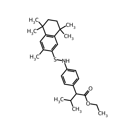 CCOC(=O)C(c1ccc(NSc2cc3c(cc2C)C(C)(C)CCC3(C)C)cc1)C(C)C